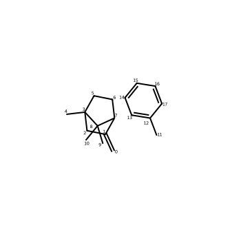 C=C1CC2(C)CCC1C2(C)C.Cc1ccccc1